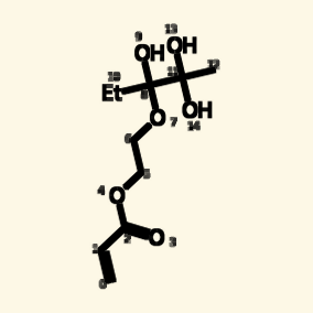 C=CC(=O)OCCOC(O)(CC)C(C)(O)O